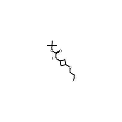 CC(C)(C)OC(=O)NC1CC(OCCF)C1